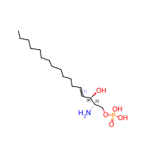 CCCCCCCCCCCC/C=C/[C@@H](O)[C@@H](N)COP(=O)(O)O